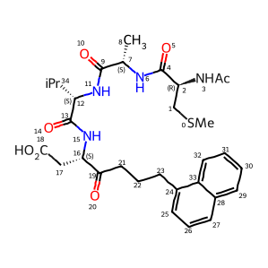 CSC[C@H](NC(C)=O)C(=O)N[C@@H](C)C(=O)N[C@H](C(=O)N[C@@H](CC(=O)O)C(=O)CCCc1cccc2ccccc12)C(C)C